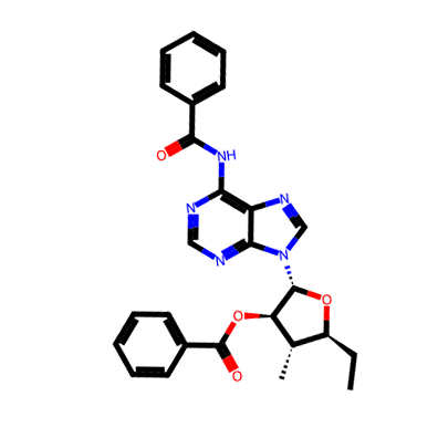 CC[C@@H]1O[C@@H](n2cnc3c(NC(=O)c4ccccc4)ncnc32)[C@H](OC(=O)c2ccccc2)[C@H]1C